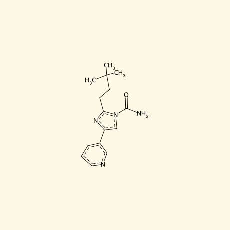 CC(C)(C)CCc1nc(-c2cccnc2)cn1C(N)=O